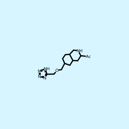 CC(=O)C1CC2CC(COCc3nnn[nH]3)CCC2CN1